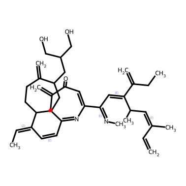 C=C/C(C)=C\C(C)/C(=C\C(=N/C)C1=CC(=O)C(=C)CC(/C=C\C(=C/C)C2CCC(=C)C(CC(CO)CO)CC2)=N1)C(=C)CC